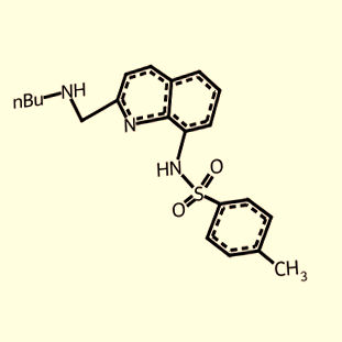 CCCCNCc1ccc2cccc(NS(=O)(=O)c3ccc(C)cc3)c2n1